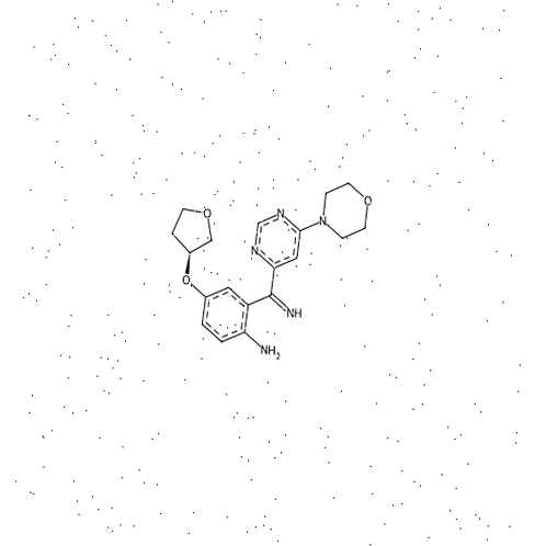 N=C(c1cc(N2CCOCC2)ncn1)c1cc(O[C@H]2CCOC2)ccc1N